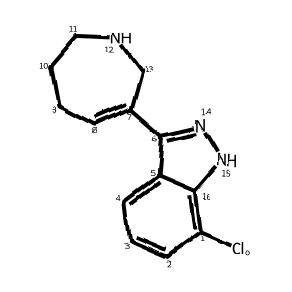 Clc1cccc2c(C3=CCCCNC3)n[nH]c12